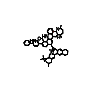 CC1=NC2CCC(C3=CC(C4C5(C)c6cc7c(cc6C6C=C(CC(C)C)C(C8CC8(C)C)=CN6C45C)CCCC7)C4CC=C5C6=C(NC(c7ccccc7)C=C6)OCC5=C4C3Nc3ccccc3)=C[C@@H]2C(C)CC1